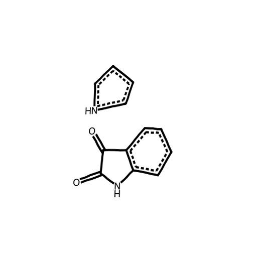 O=C1Nc2ccccc2C1=O.c1cc[nH]c1